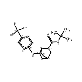 CC(C)(C)OC(=O)N1CC2CCC1C(Oc1cnc(C(F)(F)F)cn1)C2